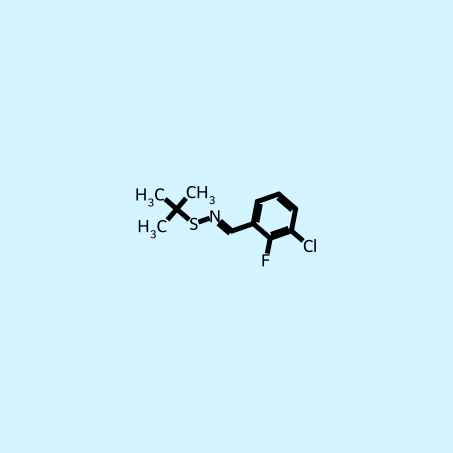 CC(C)(C)SN=Cc1cccc(Cl)c1F